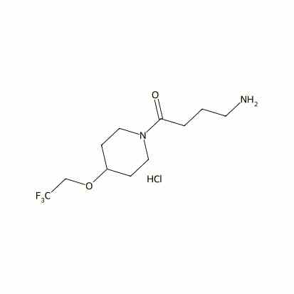 Cl.NCCCC(=O)N1CCC(OCC(F)(F)F)CC1